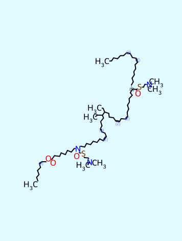 CCCCCC/C=C\C/C=C\CCCCCCC[C@@H](CCCCCCC/C=C\C/C=C\CCCC(CC)C(CC)CCC/C=C\C/C=C\CCCCCCCN(CCCCCCCC(=O)OC/C=C\CCCCCC)C(=O)SCCN(C)C)C(=O)SCCN(C)C